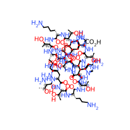 C[C@@H](O)[C@H](N)C(=O)N[C@@H](Cc1c[nH]cn1)C(=O)N[C@H](C(=O)N[C@@H](CCCCN)C(=O)N[C@H](C(=O)N[C@@H](CCCCN)C(=O)N[C@@H](CCCCN)C(=O)N[C@H](C(=O)N[C@@H](Cc1c[nH]cn1)C(=O)N[C@H](C(=O)N[C@@H](CCCCN)C(=O)N[C@H](C(=O)N[C@@H](CCCCN)C(=O)N[C@@H](CCCCN)C(=O)N[C@H](C(=O)N[C@@H](Cc1c[nH]cn1)C(=O)N[C@H](C(=O)N[C@@H](CCCCN)C(=O)O)[C@@H](C)O)[C@@H](C)O)[C@@H](C)O)[C@@H](C)O)[C@@H](C)O)[C@@H](C)O)[C@@H](C)O